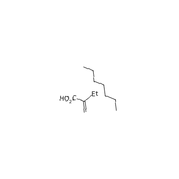 C=C(CC)C(=O)O.CCCCCCC